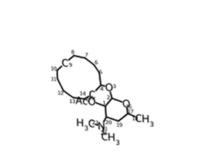 CC(=O)OC1C(OC2CCCCCCCCCCC2)OC(C)CC1N(C)C